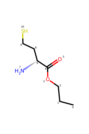 CCCOC(=O)[C@H](N)CCS